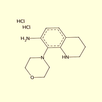 Cl.Cl.Nc1ccc2c(c1N1CCOCC1)NCCC2